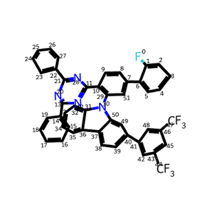 Fc1ccccc1-c1ccc(-c2nc(-c3ccccc3)nc(-c3ccccc3)n2)c(-n2c3ccccc3c3ccc(-c4cc(C(F)(F)F)cc(C(F)(F)F)c4)cc32)c1